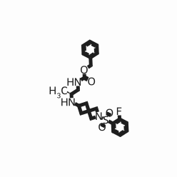 C[C@H](CNC(=O)OCc1ccccc1)NC1CC2(C1)CN(S(=O)(=O)c1ccccc1F)C2